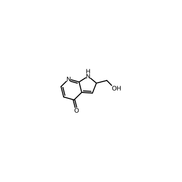 O=C1C=CN=C2NC(CO)C=C12